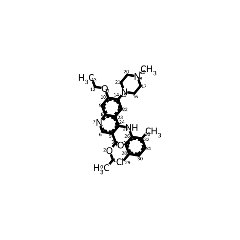 CCOC(=O)c1cnc2cc(OCC)c(N3CCN(C)CC3)cc2c1Nc1cc(Cl)ccc1C